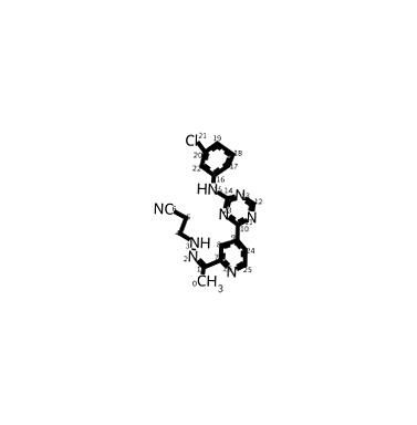 C/C(=N/NCCC#N)c1cc(-c2ncnc(Nc3cccc(Cl)c3)n2)ccn1